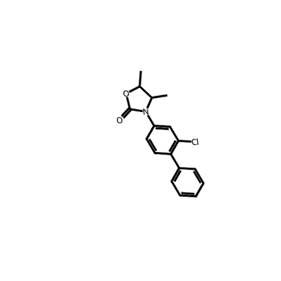 CC1OC(=O)N(c2ccc(-c3ccccc3)c(Cl)c2)C1C